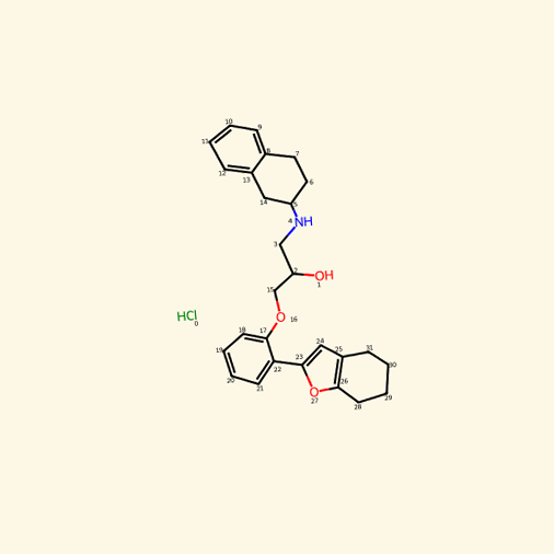 Cl.OC(CNC1CCc2ccccc2C1)COc1ccccc1-c1cc2c(o1)CCCC2